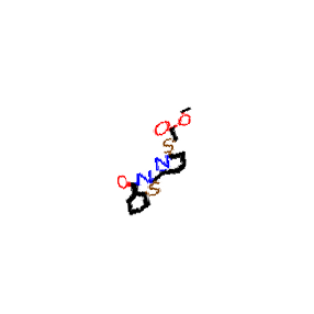 CCOC(=O)CSc1cccc(-c2nc(=O)c3ccccc3s2)n1